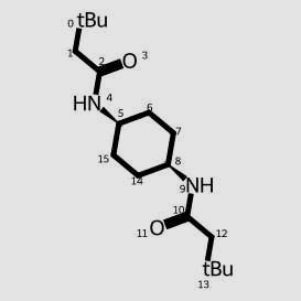 CC(C)(C)CC(=O)N[C@H]1CC[C@@H](NC(=O)CC(C)(C)C)CC1